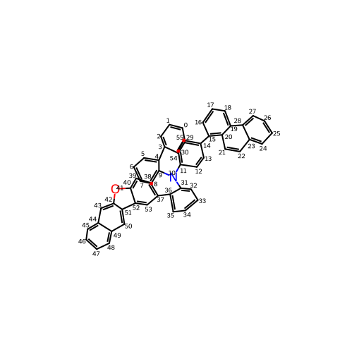 c1ccc(-c2ccccc2N(c2ccc(-c3cccc4c3ccc3ccccc34)cc2)c2ccccc2-c2ccc3oc4cc5ccccc5cc4c3c2)cc1